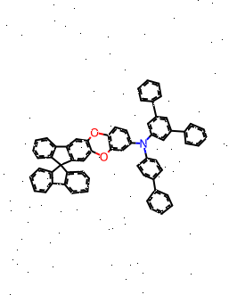 c1ccc(-c2ccc(N(c3cc(-c4ccccc4)cc(-c4ccccc4)c3)c3ccc4c(c3)Oc3cc5c(cc3O4)-c3ccccc3C53c4ccccc4-c4ccccc43)cc2)cc1